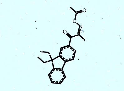 CCC1(CC)c2ccccc2-c2ccc(C(=O)/C(C)=N\OC(C)=O)cc21